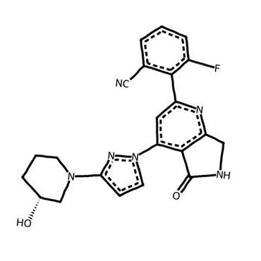 N#Cc1cccc(F)c1-c1cc(-n2ccc(N3CCC[C@@H](O)C3)n2)c2c(n1)CNC2=O